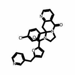 O=C(c1ccc(Cc2cccnc2)o1)N1CCN2C(=O)c3cccnc3CC12c1ccc(Cl)cc1